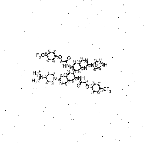 CN(C)C1CCN(c2ncc3cc(NC(=O)COc4ccc(C(F)(F)F)cc4)ccc3n2)CC1.O=C(COc1ccc(C(F)(F)F)cc1)Nc1ccc2nc(N3CC4CC3CN4)ncc2c1